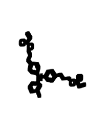 C=CC(=O)OCCCc1ccc(N(c2ccc(CCCOC(=O)C=C)cc2)c2cccc(C)c2)cc1